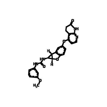 COc1cccc(NC(=O)N[C@@H]2[C@H]3Oc4ccc(Oc5ccnc6c5CCC(=O)N6)cc4[C@@H]23)c1